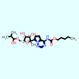 CCCCCOC(=O)Nc1ncnn2c([C@]3(C)O[C@H](COC(O)C(C)C)[C@@H](O)[C@H]3O)ccc12